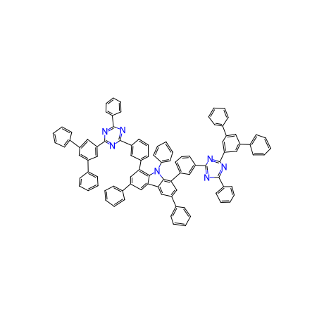 c1ccc(-c2cc(-c3ccccc3)cc(-c3nc(-c4ccccc4)nc(-c4cccc(-c5cc(-c6ccccc6)cc6c7cc(-c8ccccc8)cc(-c8cccc(-c9nc(-c%10ccccc%10)nc(-c%10cc(-c%11ccccc%11)cc(-c%11ccccc%11)c%10)n9)c8)c7n(-c7ccccc7)c56)c4)n3)c2)cc1